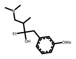 CCC(O)(Cc1cccc(OC)c1)C(C)CN(C)C